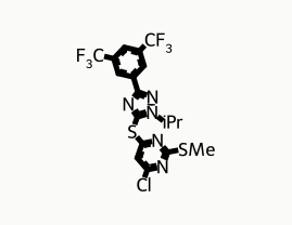 CSc1nc(Cl)cc(Sc2nc(-c3cc(C(F)(F)F)cc(C(F)(F)F)c3)nn2C(C)C)n1